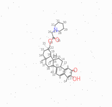 CC1=C(O)C(=O)C=C2C1=CC=C1[C@@]2(C)CC[C@@]2(C)[C@@H]3C[C@](C)(COC(=O)CN4CCCCC4)CC[C@@]3(C)CC[C@]12C